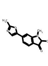 Cc1ncc(-c2ccc3c(c2)N(C)C(C)C3=O)o1